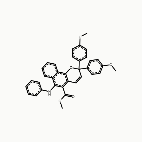 COC(=O)c1c2c(c3ccccc3c1Nc1ccccc1)OC(c1ccc(OC)cc1)(c1ccc(OC)cc1)C=C2